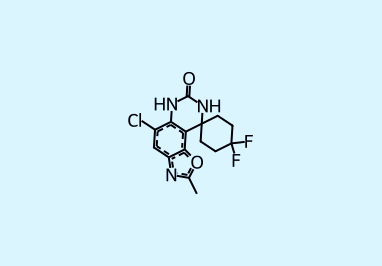 Cc1nc2cc(Cl)c3c(c2o1)C1(CCC(F)(F)CC1)NC(=O)N3